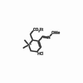 CCOC(=O)CC1C(C=NOC)=CCC[N+]1(C)C.Cl